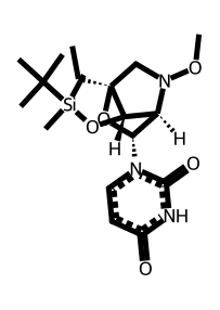 CC[C@@]12CN(OC)[C@@H]([C@H](n3ccc(=O)[nH]c3=O)O1)[C@@H]2O[Si](C)(C)C(C)(C)C